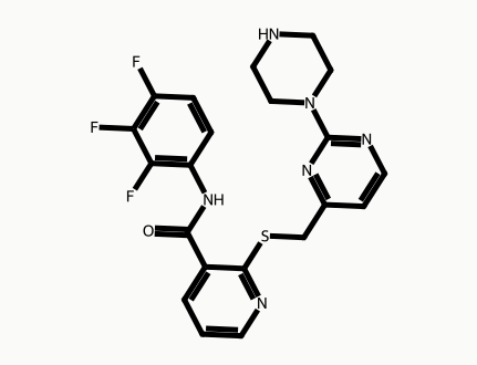 O=C(Nc1ccc(F)c(F)c1F)c1cccnc1SCc1ccnc(N2CCNCC2)n1